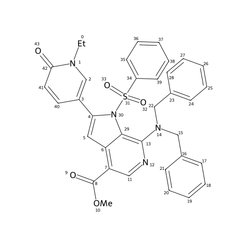 CCn1cc(-c2cc3c(C(=O)OC)cnc(N(Cc4ccccc4)Cc4ccccc4)c3n2S(=O)(=O)c2ccccc2)ccc1=O